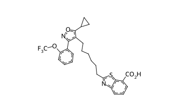 O=C(O)c1cccc2nc(CCCCCCc3c(-c4ccccc4OC(F)(F)F)noc3C3CC3)sc12